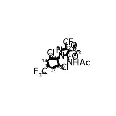 CC(=O)Nc1c(S(C)(=O)=O)c(C(F)(F)F)nn1-c1c(Cl)cc(C(F)(F)F)cc1Cl